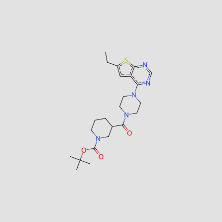 CCc1cc2c(N3CCN(C(=O)C4CCCN(C(=O)OC(C)(C)C)C4)CC3)ncnc2s1